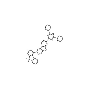 CC1(C)c2ccccc2-c2c(-c3ccc4oc5cc(-c6nc(-c7ccccc7)nc(-c7ccccc7)n6)ccc5c4c3)cccc21